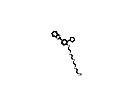 OCCOCCOCCOCCOc1ccc(-c2nc3ccccc3s2)cc1C1CCCC1